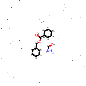 NC=O.O=C(OCc1ccccc1)c1ccccc1